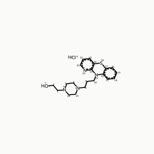 Cl.OCCN1CCN(CCCN2c3ccccc3Sc3cccnc32)CC1